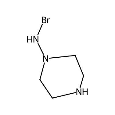 BrNN1CCNCC1